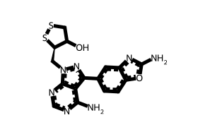 Nc1nc2cc(-c3nn(C[C@H]4SSCC4O)c4ncnc(N)c34)ccc2o1